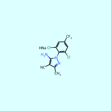 Cc1nn(-c2c(Cl)cc(C(F)(F)F)cc2Cl)c(N)c1C#N.[NaH]